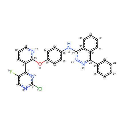 Fc1cnc(Cl)nc1-c1cccnc1Oc1ccc(Nc2nnc(-c3ccccc3)c3ccccc23)cc1